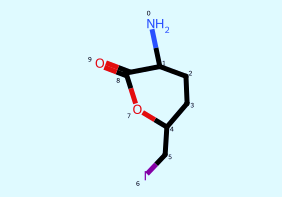 NC1CCC(CI)OC1=O